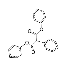 O=C(Oc1ccccc1)C(C(=O)Oc1ccccc1)c1ccccc1